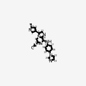 [C-]#[N+]c1cn2c(-c3cnn(C)c3)cnc2c(Nc2ccc(-n3ccnc3)cc2)n1